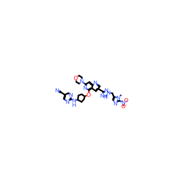 Cn1c(Cn2nnc(-c3cnc4cc(N5CCOCC5)nc(OC5CCC(Nc6ncc(C#N)cn6)CC5)c4c3)n2)cnc1[N+](=O)[O-]